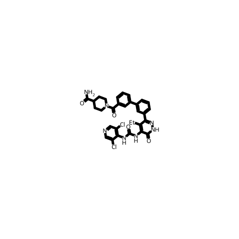 CCc1c(-c2cccc(-c3cccc(C(=O)N4CCC(C(N)=O)CC4)c3)c2)n[nH]c(=O)c1NC(=O)Nc1c(Cl)cncc1Cl